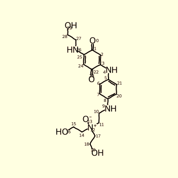 O=C1C=C(Nc2ccc(NCC[N+]([O-])(CCO)CCO)cc2)C(=O)C=C1NCCO